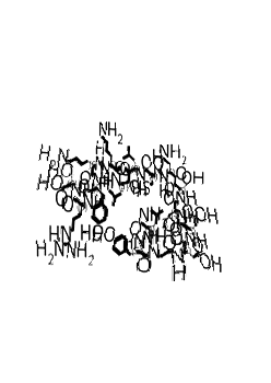 CC(C)C[C@H](NN[C@@H](Cc1ccc(O)cc1)C(=O)NCC(=O)N[C@@H](CC(=O)O)C(=O)N[C@@H](CC(=O)O)C(=O)N[C@@H](CO)C(=O)N[C@@H](CO)C(=O)C(=O)[C@H](CC(N)=O)NN[C@@H](CS)C(=O)N[C@@H](CC(C)C)C(=O)C(=O)[C@H](CC(C)C)NC(=O)[C@H](CCCCN)NN[C@@H](CCCCN)C(=O)N[C@@H](Cc1ccc(O)cc1)C(=O)N[C@@H](CCCNC(N)N)C(=O)N[C@@H](CO)C(=O)O)C(N)=O